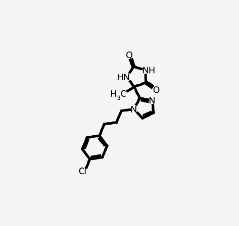 CC1(c2nccn2CCCc2ccc(Cl)cc2)NC(=O)NC1=O